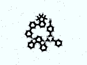 CC1(C)c2cccc(-c3cccc(-c4cccc(-n5c6ccccc6c6c7c8ccccc8n(-c8nc(-c9ccccc9)nc(-c9ccc(C#N)cc9)n8)c7ccc65)c4)c3)c2C(C)(C)C1(C)C